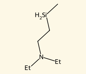 CCN(CC)CC[SiH2]C